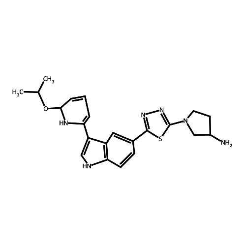 CC(C)OC1C=CC=C(c2c[nH]c3ccc(-c4nnc(N5CCC(N)C5)s4)cc23)N1